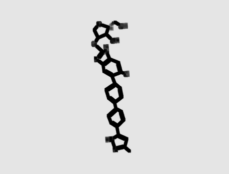 Cc1cc(-c2ccc(-c3ccc(-c4cc5nc(OC6CO[C@H](CO)C6O)[nH]c5cc4Cl)cc3)cc2)[nH]n1